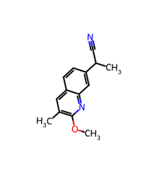 COc1nc2cc(C(C)C#N)ccc2cc1C